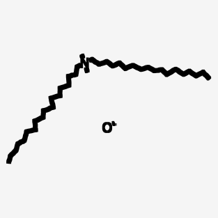 CCCCCCCCCCCCCCCCCC[N+](C)(C)CCCCCCCCCCCCCCCCCC.C[O-]